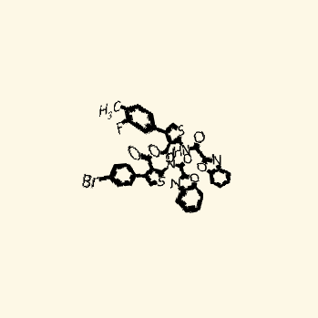 Cc1ccc(-c2csc(NC(=O)c3nc4ccccc4o3)c2C(=O)OC(=O)c2c(-c3ccc(Br)cc3)csc2NC(=O)c2nc3ccccc3o2)cc1F